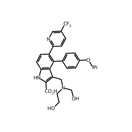 CC(C)Oc1ccc(-c2c(-c3ccc(C(F)(F)F)cn3)ccc3[nH]c(C(=O)O)c(CN(CO)CCO)c23)cc1